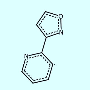 [c]1cccnc1-c1ccon1